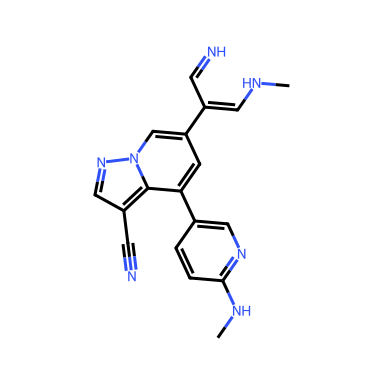 CN/C=C(\C=N)c1cc(-c2ccc(NC)nc2)c2c(C#N)cnn2c1